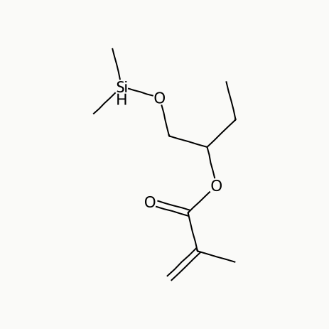 C=C(C)C(=O)OC(CC)CO[SiH](C)C